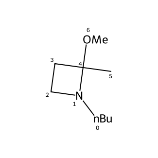 CCCCN1CCC1(C)OC